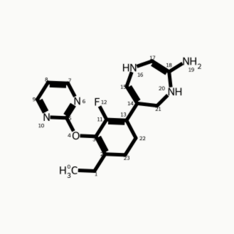 CCC1=C(Oc2ncccn2)C(F)=C(C2=CNC=C(N)NC2)CC1